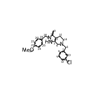 C=C1C2=C(CN(Cc3cccc(Cl)c3)CC2)NN1Cc1ccc(OC)cc1